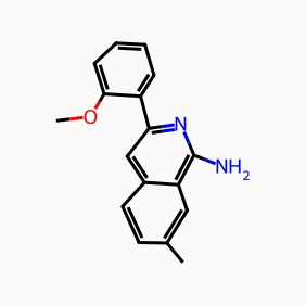 COc1ccccc1-c1cc2ccc(C)cc2c(N)n1